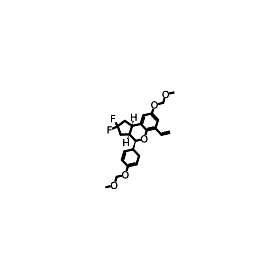 C=Cc1cc(OCOC)cc2c1O[C@@H](C1C=CC(OCOC)=CC1)[C@H]1CC(F)(F)C[C@@H]21